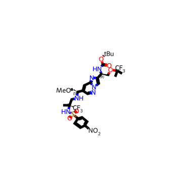 COC[C@@H](NC[C@](C)(NS(=O)(=O)c1ccc([N+](=O)[O-])cc1)C(F)(F)F)c1cnn2cc([C@H](COC(C)(C)C(F)(F)F)NC(=O)OC(C)(C)C)nc2c1